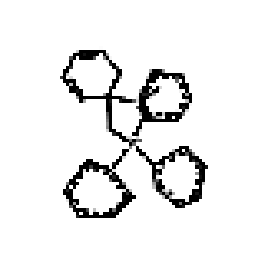 COC1(C[P+](c2ccccc2)(c2ccccc2)c2ccccc2)C=CC=CC1